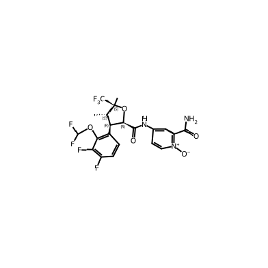 C[C@H]1[C@H](c2ccc(F)c(F)c2OC(F)F)[C@H](C(=O)Nc2cc[n+]([O-])c(C(N)=O)c2)O[C@]1(C)C(F)(F)F